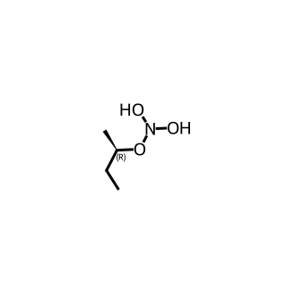 CC[C@@H](C)ON(O)O